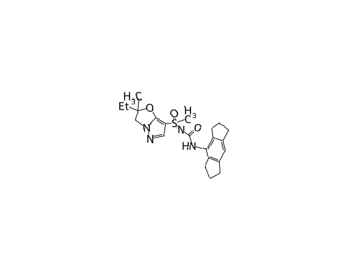 CCC1(C)Cn2ncc(S(C)(=O)=NC(=O)Nc3c4c(cc5c3CCC5)CCC4)c2O1